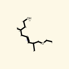 CCOCC(C)/C=C/CC(C)CCO